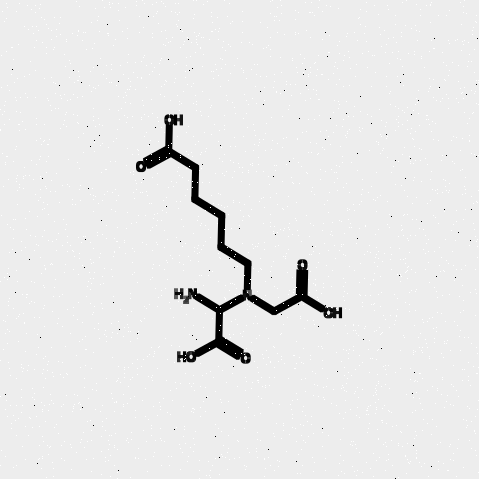 NC(C(=O)O)N(CCCCCC(=O)O)CC(=O)O